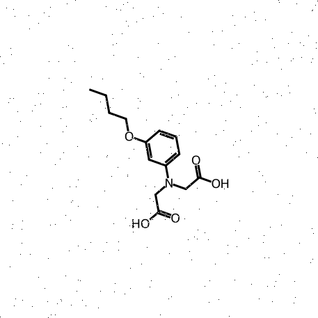 CCCCOc1cccc(N(CC(=O)O)CC(=O)O)c1